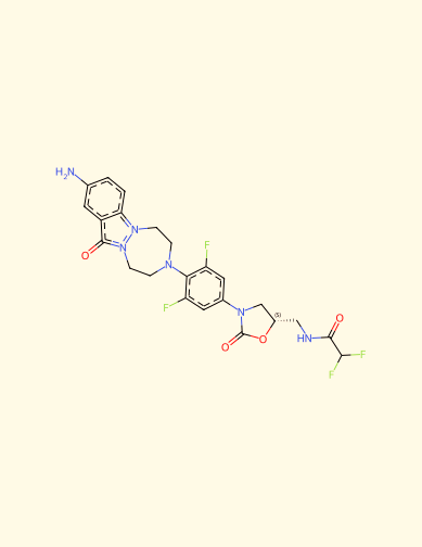 Nc1ccc2c(c1)c(=O)n1n2CCN(c2c(F)cc(N3C[C@H](CNC(=O)C(F)F)OC3=O)cc2F)CC1